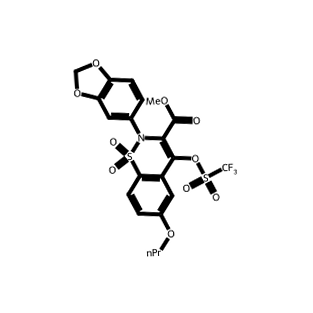 CCCOc1ccc2c(c1)C(OS(=O)(=O)C(F)(F)F)=C(C(=O)OC)N(c1ccc3c(c1)OCO3)S2(=O)=O